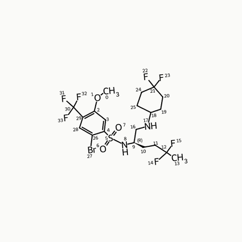 COc1cc(S(=O)(=O)N[C@H](CCC(C)(F)F)CNC2CCC(F)(F)CC2)c(Br)cc1C(F)(F)F